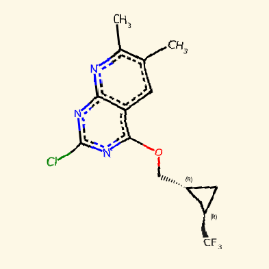 Cc1cc2c(OC[C@@H]3C[C@H]3C(F)(F)F)nc(Cl)nc2nc1C